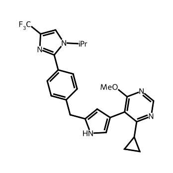 COc1ncnc(C2CC2)c1-c1c[nH]c(Cc2ccc(-c3nc(C(F)(F)F)cn3C(C)C)cc2)c1